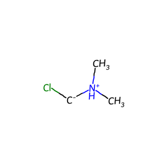 C[NH+](C)[CH-]Cl